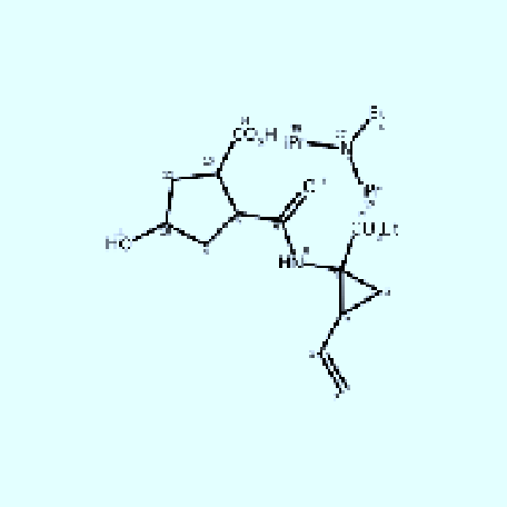 C=CC1CC1(NC(=O)C1CC(O)CC1C(=O)O)C(=O)OCC.CCN(C(C)C)C(C)C